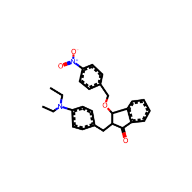 CCN(CC)c1ccc(CC2C(=O)c3ccccc3C2OCc2ccc([N+](=O)[O-])cc2)cc1